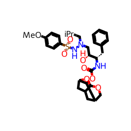 COc1ccc(S(=O)(=O)NN(CC(C)C)C[C@@H](O)[C@H](Cc2ccccc2)NC(=O)OC2C3COC4OC2CC4C3)cc1